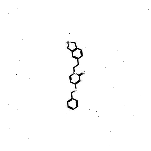 O=c1cc(OCc2ccccc2)ccn1CCc1ccc2c(c1)CNC2